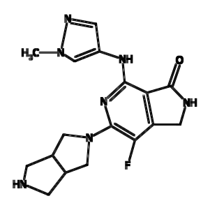 Cn1cc(Nc2nc(N3CC4CNCC4C3)c(F)c3c2C(=O)NC3)cn1